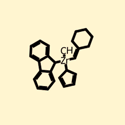 [CH3][Zr]([CH]=C1CCCCC1)([CH]1C=CC=C1)[CH]1c2ccccc2-c2ccccc21